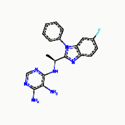 C[C@H](Nc1ncnc(N)c1N)c1nc2ccc(F)cc2n1-c1ccccc1